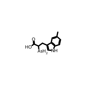 Cc1ccc2[nH]cc(CC([AsH2])C(=O)O)c2c1